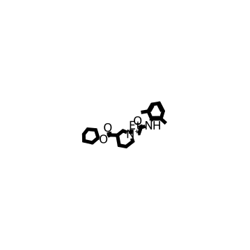 CC[N+]1(CC(=O)Nc2c(C)cccc2C)CCCC(C(=O)OC2CCCCC2)C1